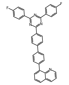 Fc1ccc(-c2nc(-c3ccc(F)cc3)nc(-c3ccc(-c4ccc(-c5cccc6cccnc56)cc4)cc3)n2)cc1